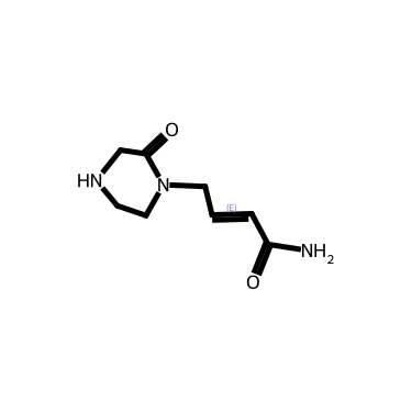 NC(=O)/C=C/CN1CCNCC1=O